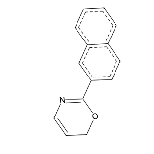 C1=CN=C(c2ccc3ccccc3c2)OC1